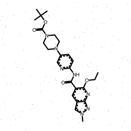 CCOc1nc2nn(C)cc2cc1C(=O)Nc1ccc(N2CCN(C(=O)OC(C)(C)C)CC2)cn1